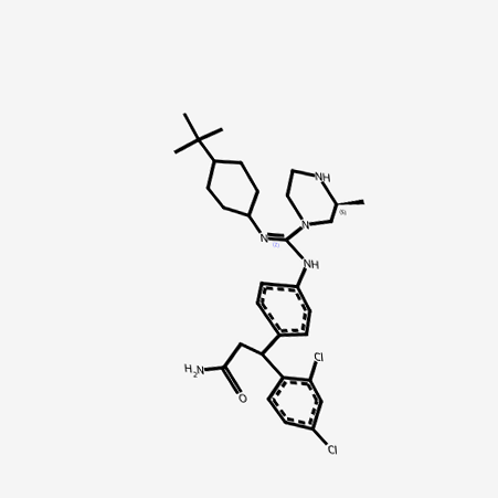 C[C@H]1CN(/C(=N\C2CCC(C(C)(C)C)CC2)Nc2ccc(C(CC(N)=O)c3ccc(Cl)cc3Cl)cc2)CCN1